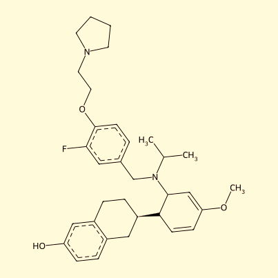 COC1=CC(N(Cc2ccc(OCCN3CCCC3)c(F)c2)C(C)C)C([C@@H]2CCc3cc(O)ccc3C2)C=C1